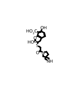 O=C(O)c1c(O)ccc2c1OB(O)C(SCC(=O)N1CCC3(CNC3)C1)C2